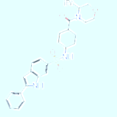 CC(C)C1COCCN1C(=O)C1CCC(NS(=O)(=O)c2ccc3cc(-c4ccccc4)[nH]c3c2)CC1